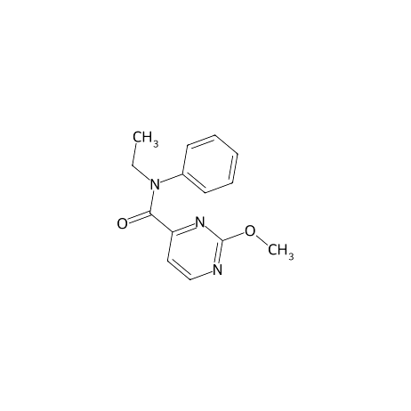 CCN(C(=O)c1ccnc(OC)n1)c1ccccc1